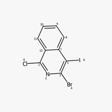 Clc1nc(Br)c(I)c2ccccc12